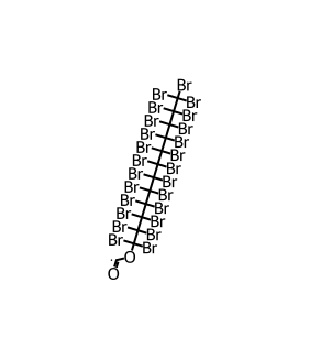 O=[C]OC(Br)(Br)C(Br)(Br)C(Br)(Br)C(Br)(Br)C(Br)(Br)C(Br)(Br)C(Br)(Br)C(Br)(Br)C(Br)(Br)C(Br)(Br)C(Br)(Br)C(Br)(Br)Br